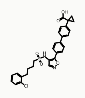 O=C(O)C1(c2ccc(-c3ccc(-c4oncc4NS(=O)(=O)CCCCc4ccccc4Cl)cc3)cc2)CC1